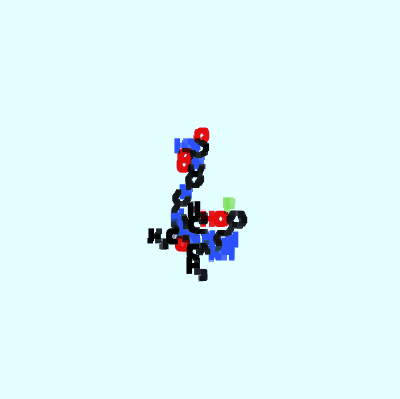 CCC12CNc3nnc(-c4cccc(F)c4O)cc3N1CCN(C(=O)N1[C@H](C)CN(CC3CCN(c4ccc5c(c4)C(=O)N(C4CCC(=O)NC4=O)C5)CC3)C[C@H]1C)C2